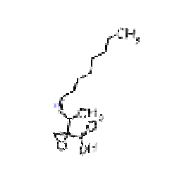 CCCCCCC/C=C\C(C)C1(C(=O)O)CO1